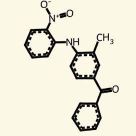 Cc1cc(C(=O)c2ccccc2)ccc1Nc1ccccc1[N+](=O)[O-]